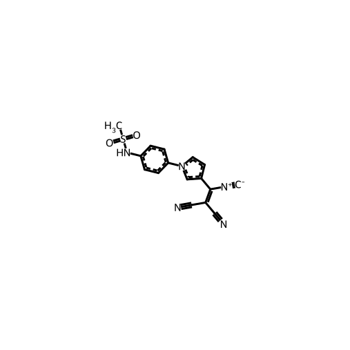 [C-]#[N+]C(=C(C#N)C#N)c1ccn(-c2ccc(NS(C)(=O)=O)cc2)c1